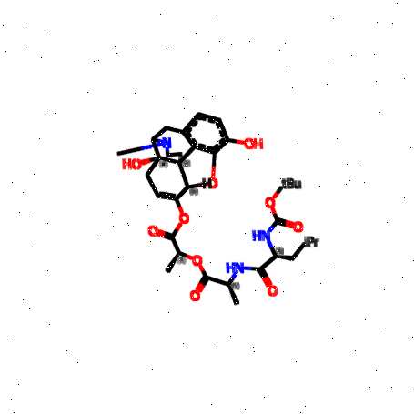 CC(C)C[C@H](NC(=O)OC(C)(C)C)C(=O)N[C@@H](C)C(=O)O[C@@H](C)C(=O)OC1=CC[C@]2(O)C3Cc4ccc(O)c5c4[C@@]2(CCN3C)[C@H]1O5